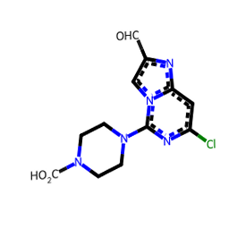 O=Cc1cn2c(N3CCN(C(=O)O)CC3)nc(Cl)cc2n1